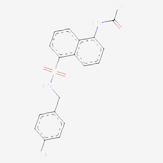 CC(=O)Nc1cccc2c(S(=O)(=O)NCc3ccc(C)cc3)cccc12